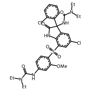 CCN(CC)C(=O)Nc1ccc(S(=O)(=O)c2cc(Cl)cc3c2NC(=O)C3(NC(=O)N(CC)CC)c2ccccc2Cl)c(OC)c1